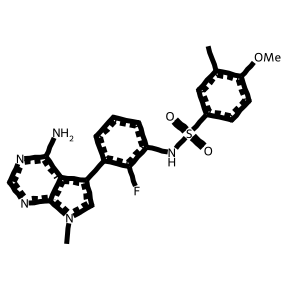 COc1ccc(S(=O)(=O)Nc2cccc(-c3cn(C)c4ncnc(N)c34)c2F)cc1C